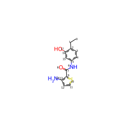 CCc1ccc(NC(=O)c2sccc2N)cc1O